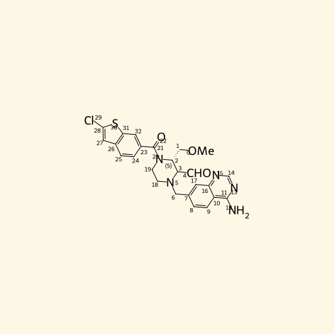 COC[C@@H]1C(C=O)N(Cc2ccc3c(N)ncnc3c2)CCN1C(=O)c1ccc2cc(Cl)sc2c1